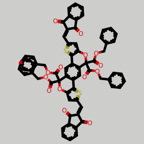 O=C1C(=Cc2cc3c(s2)-c2cc4c(cc2C(C(=O)OCc2ccccc2)(C(=O)OCc2ccccc2)O3)-c2sc(C=C3C(=O)c5ccccc5C3=O)cc2OC4(C(=O)OCc2ccccc2)C(=O)OCc2ccccc2)C(=O)c2ccccc21